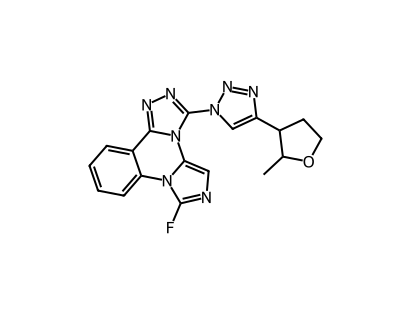 CC1OCCC1c1cn(-c2nnc3c4ccccc4n4c(F)ncc4n23)nn1